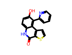 O=c1[nH]c2ccc(O)c(-c3ccccn3)c2c2ccsc12